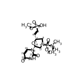 COP(=O)(O)/C=C/[C@@H]1CN(P(=O)(OC)N(C)C)C[C@H](n2ccc(=O)[nH]c2=O)O1